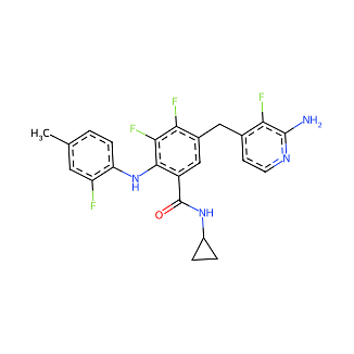 Cc1ccc(Nc2c(C(=O)NC3CC3)cc(Cc3ccnc(N)c3F)c(F)c2F)c(F)c1